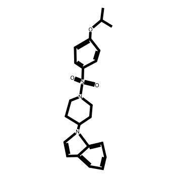 CC(C)Oc1ccc(S(=O)(=O)N2CCC(n3ccc4ccccc43)CC2)cc1